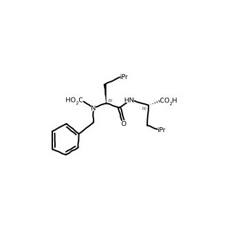 CC(C)C[C@H](NC(=O)[C@H](CC(C)C)N(Cc1ccccc1)C(=O)O)C(=O)O